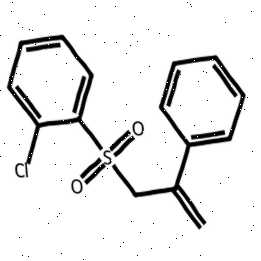 C=C(CS(=O)(=O)c1ccccc1Cl)c1ccccc1